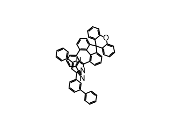 N#Cc1cccc(-c2cccc3c2-c2c(-c4nc(-c5ccccc5)cc(-c5cccc(-c6ccccc6)c5)n4)cccc2C32c3ccccc3Oc3ccccc32)c1